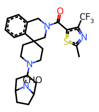 Cc1nc(C(F)(F)F)c(C(=O)N2Cc3ccccc3C3(CCN(C4CC5CCC(C4)N5C=O)CC3)C2)s1